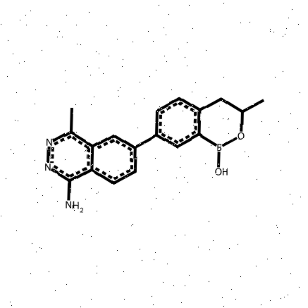 Cc1nnc(N)c2ccc(-c3ccc4c(c3)B(O)OC(C)C4)cc12